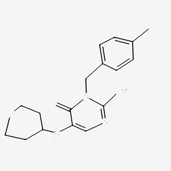 CSc1ncc(NC2CCOCC2)c(=O)n1Cc1ccc(Cl)cc1